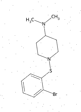 CN(C)C1CCN(Sc2ccccc2Br)CC1